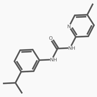 Cc1ccc(NC(=O)Nc2cccc(C(C)C)c2)nc1